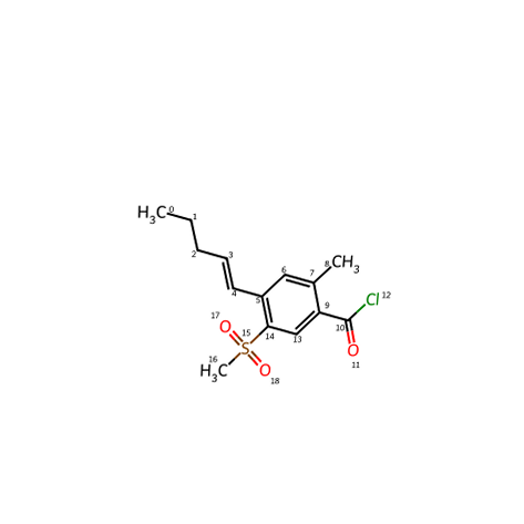 CCCC=Cc1cc(C)c(C(=O)Cl)cc1S(C)(=O)=O